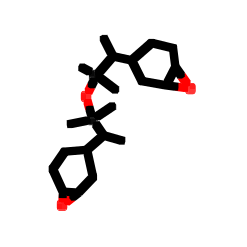 CC(C1CCC2OC2C1)[Si](C)(C)O[Si](C)(C)C(C)C1CCC2OC2C1